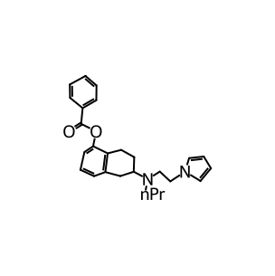 CCCN(CCn1cccc1)C1CCc2c(cccc2OC(=O)c2ccccc2)C1